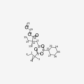 CCC(C)(I)C(=O)OC(OCCC(I)(CC)C(=O)OCOC)C1CCCCC1